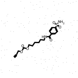 C#CCOC(=O)OCCCCCCNC(=O)c1ccc(S(N)(=O)=O)cc1